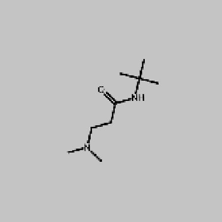 CN(C)CCC(=O)NC(C)(C)C